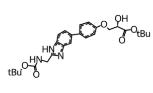 CC(C)(C)OC(=O)NCc1nc2cc(-c3ccc(OC[C@@H](O)C(=O)OC(C)(C)C)cc3)ccc2[nH]1